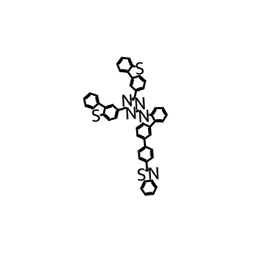 c1ccc2sc(-c3ccc(-c4ccc5c(c4)c4ccccc4n5-c4nc(-c5ccc6sc7ccccc7c6c5)nc(-c5ccc6sc7ccccc7c6c5)n4)cc3)nc2c1